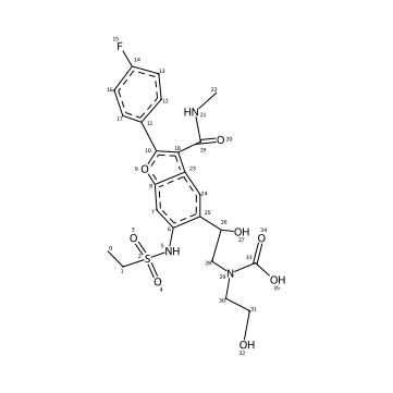 CCS(=O)(=O)Nc1cc2oc(-c3ccc(F)cc3)c(C(=O)NC)c2cc1C(O)CN(CCO)C(=O)O